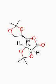 CC1(C)OCC([C@H]2OC(=O)[C@H]3OC(C)(C)O[C@H]32)O1